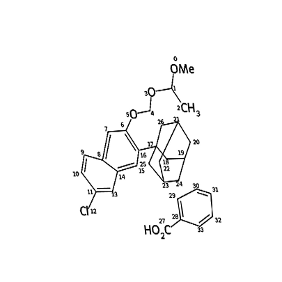 COC(C)OCOc1cc2ccc(Cl)cc2cc1C12CC3CC(CC(C3)C1)C2.O=C(O)c1ccccc1